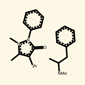 CNC(C)Cc1ccccc1.Cc1c(C(C)C)c(=O)n(-c2ccccc2)n1C